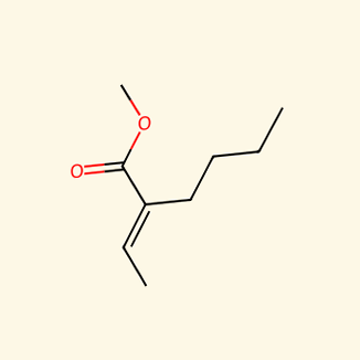 C/C=C(\CCCC)C(=O)OC